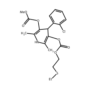 CCSCCOC(=O)OC1=C(C)NC(C)=C(OC(=O)OC)C1c1ccccc1Cl